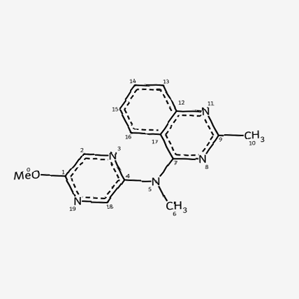 COc1cnc(N(C)c2nc(C)nc3ccccc23)cn1